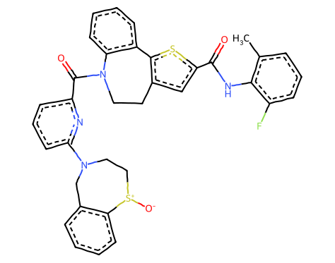 Cc1cccc(F)c1NC(=O)c1cc2c(s1)-c1ccccc1N(C(=O)c1cccc(N3CC[S+]([O-])c4ccccc4C3)n1)CC2